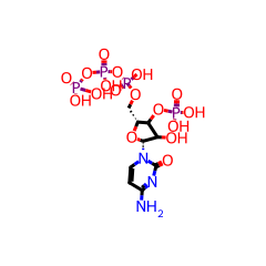 Nc1ccn([C@@H]2O[C@H](COP(=O)(O)OP(=O)(O)OP(=O)(O)O)C(OP(=O)(O)O)C2O)c(=O)n1